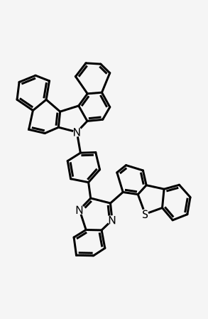 c1ccc2c(c1)ccc1c2c2c3ccccc3ccc2n1-c1ccc(-c2nc3ccccc3nc2-c2cccc3c2sc2ccccc23)cc1